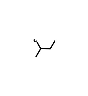 CC[CH](C)[Na]